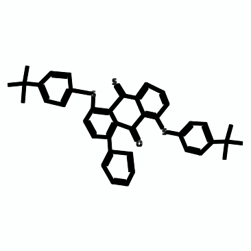 CC(C)(C)c1ccc(Sc2cccc3c2C(=O)c2c(-c4ccccc4)ccc(Sc4ccc(C(C)(C)C)cc4)c2C3=S)cc1